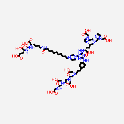 O=C(O)CC[C@H](NC(=O)N[C@@H](CCCCNC(=O)CCCCCCCCCCN1CCN(c2nc(Nc3ccc(CCCN(CCN(CCN(CCNCC(=O)O)CC(=O)O)CC(=O)O)CC(=O)O)cc3)nc(N[C@@H](CCCCN(Cc3nccn3CC(=O)O)Cc3nccn3CC(=O)O)C(=O)O)n2)CC1)C(=O)O)C(=O)O